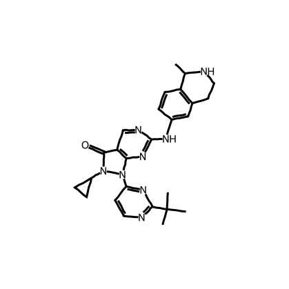 CC1NCCc2cc(Nc3ncc4c(=O)n(C5CC5)n(-c5ccnc(C(C)(C)C)n5)c4n3)ccc21